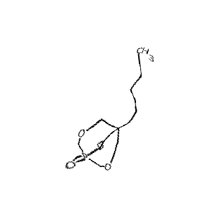 CCCCC12COP(=O)(OC1)OC2